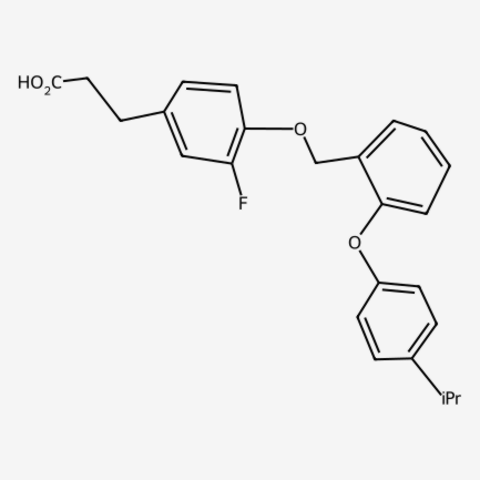 CC(C)c1ccc(Oc2ccccc2COc2ccc(CCC(=O)O)cc2F)cc1